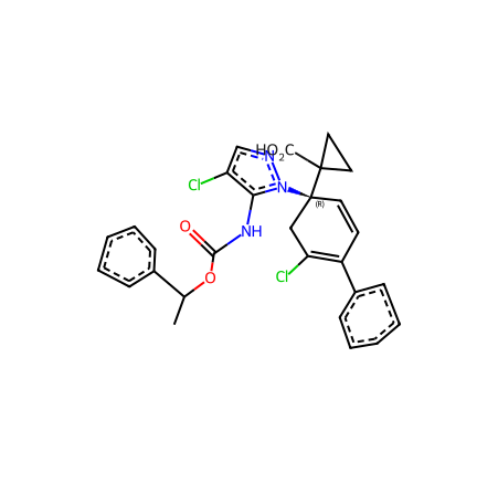 CC(OC(=O)Nc1c(Cl)cnn1[C@@]1(C2(C(=O)O)CC2)C=CC(c2ccccc2)=C(Cl)C1)c1ccccc1